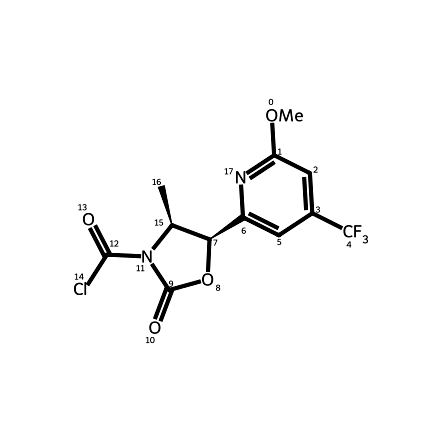 COc1cc(C(F)(F)F)cc([C@H]2OC(=O)N(C(=O)Cl)[C@H]2C)n1